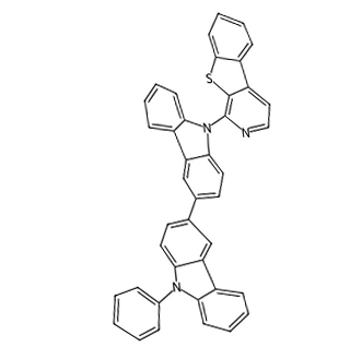 c1ccc(-n2c3ccccc3c3cc(-c4ccc5c(c4)c4ccccc4n5-c4nccc5c4sc4ccccc45)ccc32)cc1